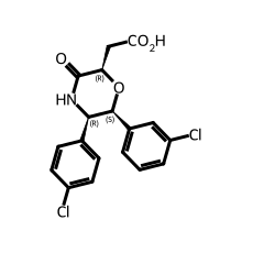 O=C(O)C[C@H]1O[C@@H](c2cccc(Cl)c2)[C@@H](c2ccc(Cl)cc2)NC1=O